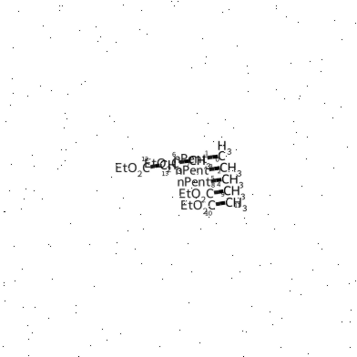 CCCCCC.CCCCCC.CCCCCC.CCOC(C)=O.CCOC(C)=O.CCOC(C)=O.CCOC(C)=O